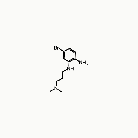 CN(C)CCCNc1cc(Br)ccc1N